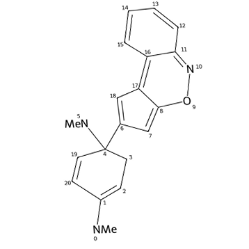 CNC1=CCC(NC)(c2cc3onc4ccccc4c-3c2)C=C1